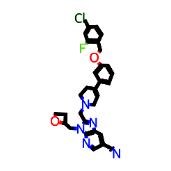 N#Cc1cnc2c(c1)nc(CN1CC=C(c3cccc(OCc4ccc(Cl)cc4F)c3)CC1)n2CC1CCO1